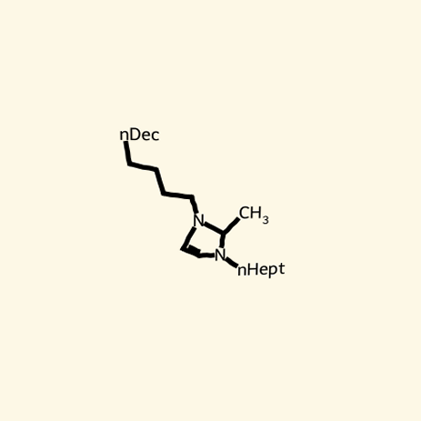 CCCCCCCCCCCCCCN1C=CN(CCCCCCC)C1C